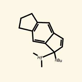 CCCC[C]1([Hf]([CH3])[CH3])C=Cc2cc3c(cc21)CCC3